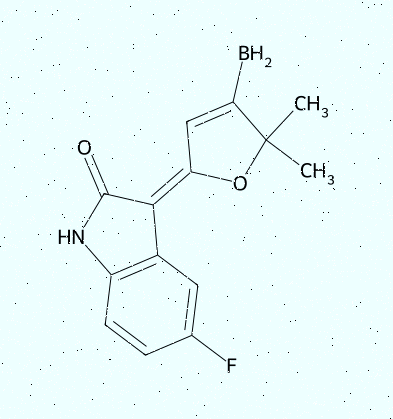 BC1=C/C(=C2\C(=O)Nc3ccc(F)cc32)OC1(C)C